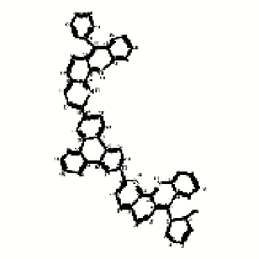 CC1C=CC=CC1c1c2ccccc2nc2c1ccc1ccc(-c3ccc4c5ccc(-c6ccc7ccc8c(-c9ccccc9)c9ccccc9nc8c7n6)cc5c5ccccc5c4c3)nc12